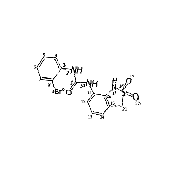 O=C(Nc1ccccc1Br)Nc1cccc2c1NS(=O)(=O)C2